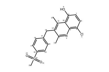 Cc1nc2c(Cl)ccc(O)c2c(C)c1Cc1ccc(S(C)(=O)=O)cc1